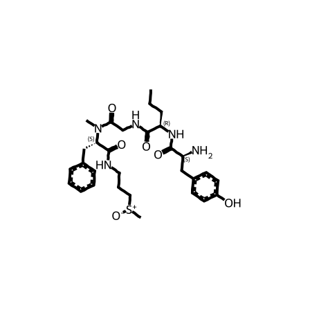 CCC[C@@H](NC(=O)[C@@H](N)Cc1ccc(O)cc1)C(=O)NCC(=O)N(C)[C@@H](Cc1ccccc1)C(=O)NCCC[S+](C)[O-]